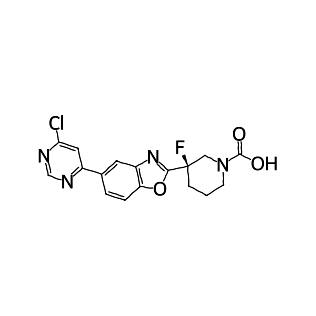 O=C(O)N1CCC[C@](F)(c2nc3cc(-c4cc(Cl)ncn4)ccc3o2)C1